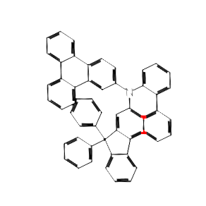 c1ccc(-c2ccccc2N(c2ccc3c(c2)C(c2ccccc2)(c2ccccc2)c2ccccc2-3)c2ccc3c4ccccc4c4ccccc4c3c2)cc1